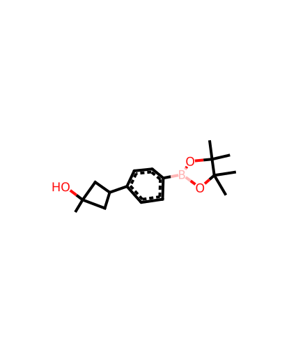 CC1(O)CC(c2ccc(B3OC(C)(C)C(C)(C)O3)cc2)C1